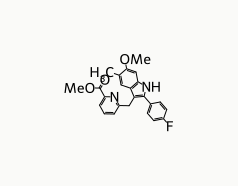 COC(=O)c1cccc(Cc2c(-c3ccc(F)cc3)[nH]c3cc(OC)c(C)cc23)n1